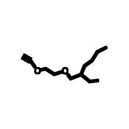 C#COCCOCC(CC)CCCC